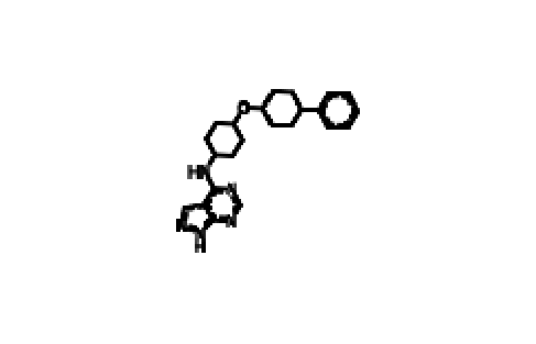 c1ccc(C2CCC(OC3CCC(Nc4ncnc5[nH]ncc45)CC3)CC2)cc1